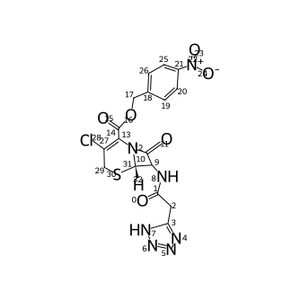 O=C(Cc1nnn[nH]1)NC1C(=O)N2C(C(=O)OCc3ccc([N+](=O)[O-])cc3)=C(Cl)CS[C@@H]12